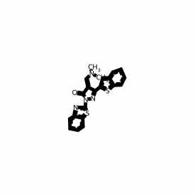 CN(C)C=C1C(=O)N(c2nc3ccccc3s2)N=C1c1cc2ccccc2s1